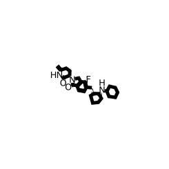 C=C1CCC(N2Cc3c(ccc(C[C@H]4CCCC[C@@H]4NC4CCCCC4)c3F)C2=O)C(=O)N1